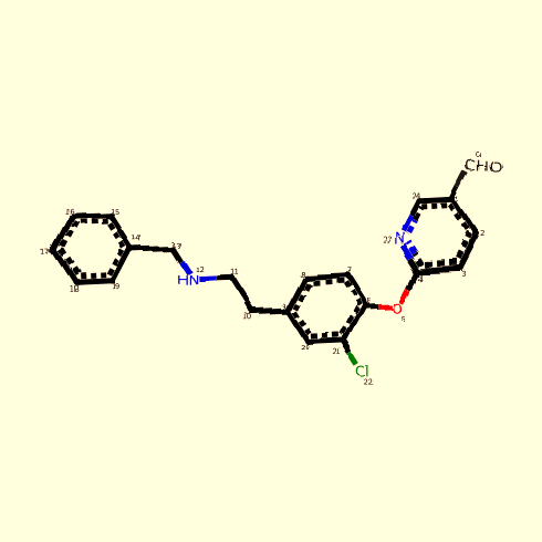 O=Cc1ccc(Oc2ccc(CCNCc3ccccc3)cc2Cl)nc1